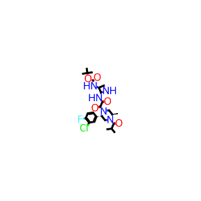 CC(C)C(=O)N1C[C@H](c2ccc(F)c(Cl)c2)N(C(=O)C(=O)N[C@@H]2NCC2NC(=O)OC(C)(C)C)C[C@H]1C